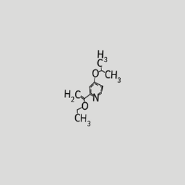 C=C(OCC)c1cc(OC(C)C)ccn1